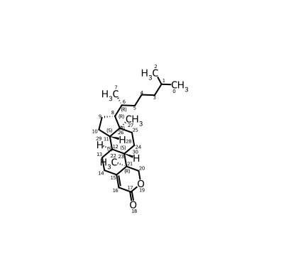 CC(C)CCC[C@@H](C)[C@H]1CC[C@H]2[C@@H]3CCC4=CC(=O)OC[C@]4(C)[C@H]3CC[C@]12C